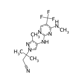 CNc1nc(Nc2cn(C(C)(C)CC#N)nc2C)ncc1C(F)(F)F